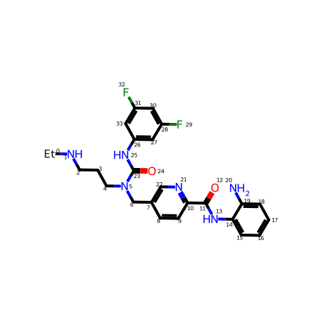 CCNCCCN(Cc1ccc(C(=O)Nc2ccccc2N)nc1)C(=O)Nc1cc(F)cc(F)c1